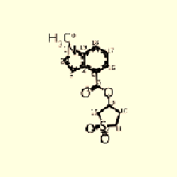 Cn1ccc2c(C(=O)OC3CCS(=O)(=O)C3)cccc21